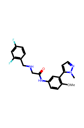 COc1ccc(NC(=O)CNCc2ccc(F)cc2F)cc1-c1ccnn1C